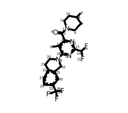 Cc1c(C(=O)N2CCC(C)CC2)nc(C(F)F)nc1N1CCc2ccc(C(F)(F)F)cc2C1